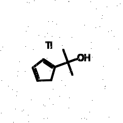 CC(C)(O)C1=CC=CC1.[Ti]